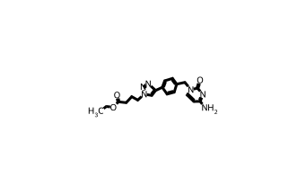 CCOC(=O)CCCn1cc(-c2ccc(Cn3ccc(N)nc3=O)cc2)nn1